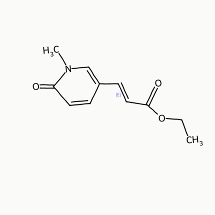 CCOC(=O)/C=C/c1ccc(=O)n(C)c1